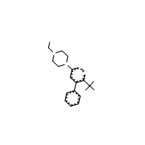 CCN1CCN(c2cc(-c3ccccc3)c(C(F)(F)F)nn2)CC1